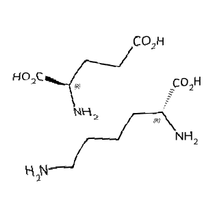 NCCCC[C@@H](N)C(=O)O.N[C@H](CCC(=O)O)C(=O)O